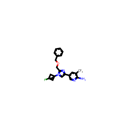 Nc1ncc(-c2cn(C34CC(F)(C3)C4)c(COCc3ccccc3)n2)cc1C(F)(F)F